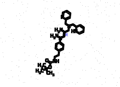 CC(C)(C)OC(=O)NCCc1ccc(N(N)/C=C(\N)CN(Cc2ccccn2)CC2C=CC=CN2)cc1